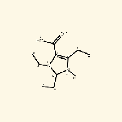 CCC1=C(C(=O)O)N(CC)C(CC)N1C